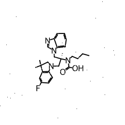 CCCCN(C(=O)O)[C@@](C)(CN1CC(C)(C)c2cc(F)ccc21)Cn1cnc2ccccc21